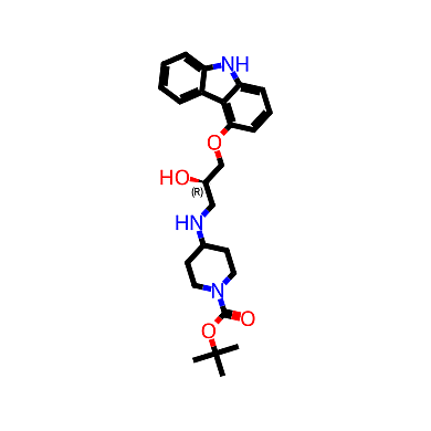 CC(C)(C)OC(=O)N1CCC(NC[C@@H](O)COc2cccc3[nH]c4ccccc4c23)CC1